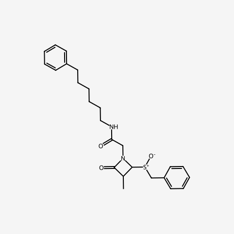 CC1C(=O)N(CC(=O)NCCCCCCc2ccccc2)C1[S+]([O-])Cc1ccccc1